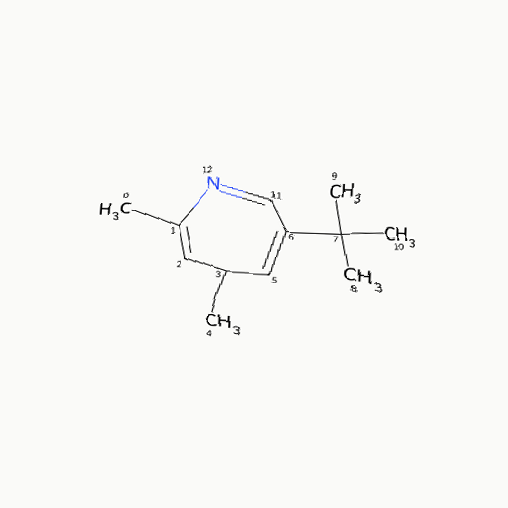 CC1=CC(C)C=C(C(C)(C)C)C=N1